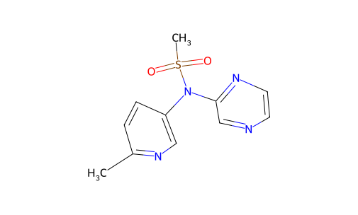 Cc1ccc(N(c2cnccn2)S(C)(=O)=O)cn1